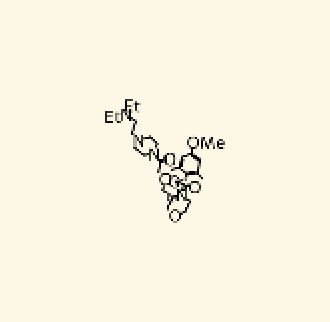 CCN(CC)CCN1CCN(C(=O)COC[C@@H]2COCCN2S(=O)(=O)c2c(C)cc(OC)cc2C)CC1